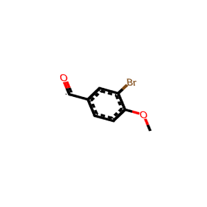 COc1ccc([C]=O)cc1Br